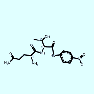 C[C@@H](O)[C@H](NC(=O)[C@@H](N)CCC(N)=O)C(=O)Nc1ccc([N+](=O)[O-])cc1